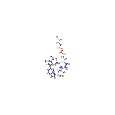 C=Nc1[nH]cc(-c2ncc3ccn([C@H]4CCC[C@@H](NC(=O)N(C)CCOCCOCCCCC)C4)c3n2)c1/C=C(\C)F